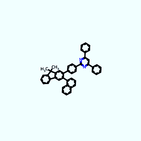 CC1(C)c2ccccc2-c2cc(-c3cccc4ccccc34)c(-c3ccc(-c4nc(-c5ccccc5)cc(-c5ccccc5)n4)cc3)cc21